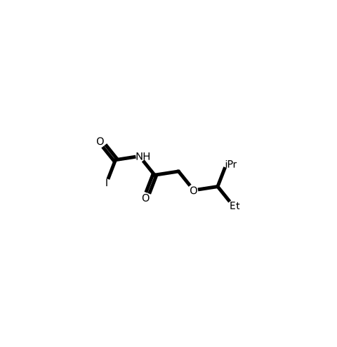 CCC(OCC(=O)NC(=O)I)C(C)C